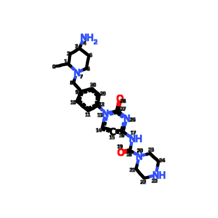 CC1CC(N)CCN1Cc1ccc(-n2ccc(NC(=O)N3CCNCC3)nc2=O)cc1